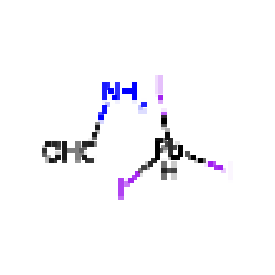 NC=O.[I][PbH]([I])[I]